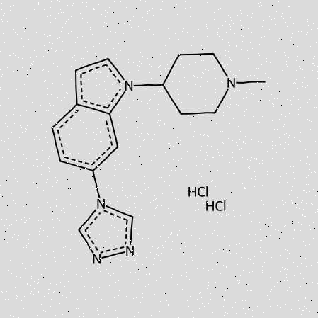 CN1CCC(n2ccc3ccc(-n4cnnc4)cc32)CC1.Cl.Cl